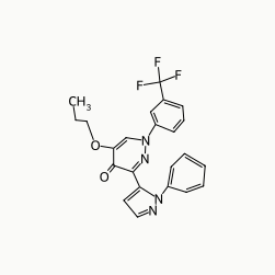 CCCOc1cn(-c2cccc(C(F)(F)F)c2)nc(-c2ccnn2-c2ccccc2)c1=O